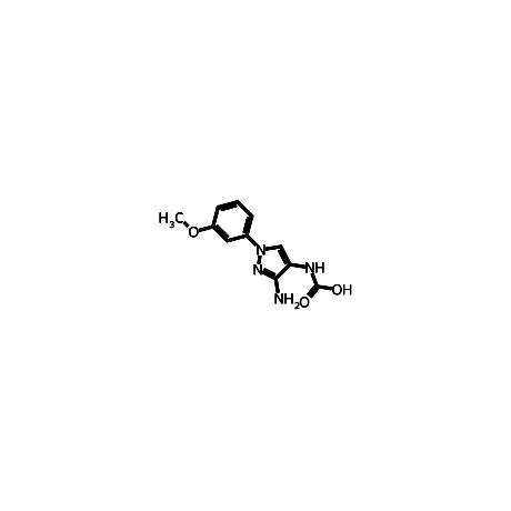 COc1cccc(-n2cc(NC(=O)O)c(N)n2)c1